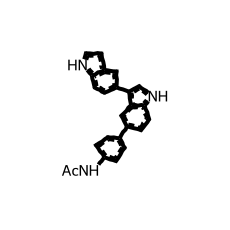 CC(=O)Nc1ccc(-c2ccc3[nH]cc(-c4ccc5[nH]ccc5c4)c3c2)cc1